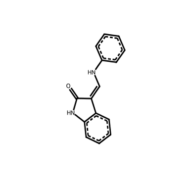 O=C1Nc2ccccc2C1=CNc1ccccc1